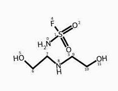 NS(=O)(=O)F.OCCNCCO